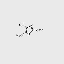 COc1nc(C)c(OC)o1